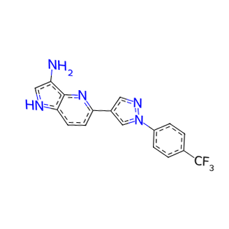 Nc1c[nH]c2ccc(-c3cnn(-c4ccc(C(F)(F)F)cc4)c3)nc12